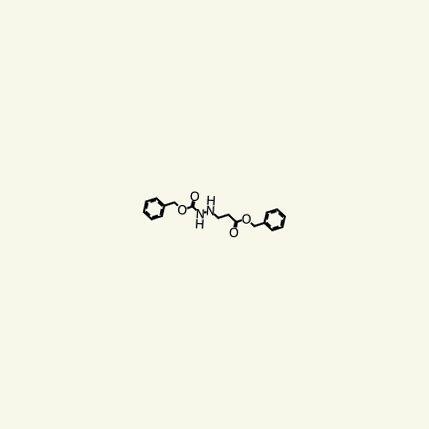 O=C(CCNNC(=O)OCc1ccccc1)OCc1ccccc1